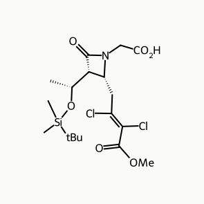 COC(=O)/C(Cl)=C(\Cl)C[C@@H]1[C@H]([C@@H](C)O[Si](C)(C)C(C)(C)C)C(=O)N1CC(=O)O